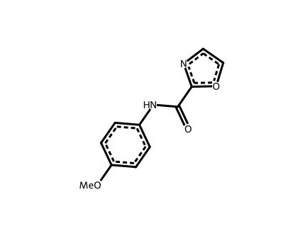 COc1ccc(NC(=O)c2ncco2)cc1